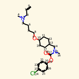 C=CCN(C)CCCCOC1CCC(CN(C)C(=O)Oc2ccc(Cl)cc2)CC1